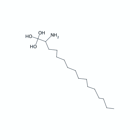 CCCCCCCCCCCCCCC(N)C(O)(O)O